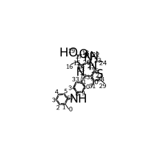 Cc1ccccc1Nc1ccc(C2=N[C@@H](C(C)C(=O)O)c3nnc(C)n3-c3sc(C)c(C)c32)cc1